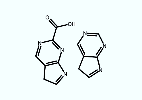 C1=Nc2ncncc2C1.O=C(O)c1ncc2c(n1)N=CC2